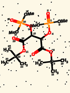 COP(=O)(OC)OC(C(=O)O[Si](C)(C)C)C(OP(=O)(OC)OC)C(=O)O[Si](C)(C)C